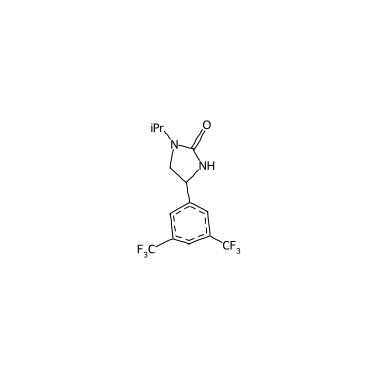 CC(C)N1CC(c2cc(C(F)(F)F)cc(C(F)(F)F)c2)NC1=O